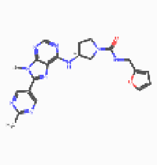 CCn1c(-c2cnc(C)nc2)nc2c(N[C@H]3CCN(C(=O)NCc4ccco4)C3)ncnc21